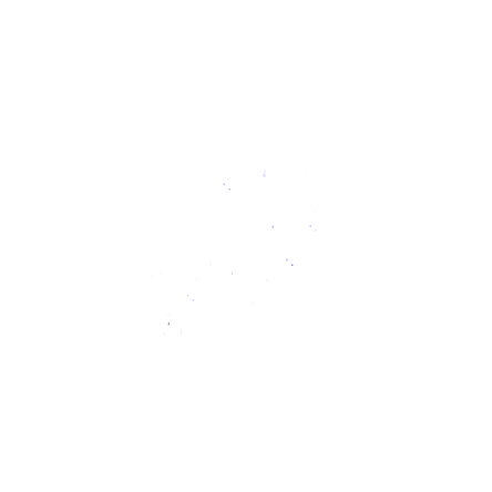 Cc1ncc(-c2nc(Nc3ccc(CN4[C@@H](C)COC[C@@H]4C)cc3F)ncc2F)n1C1CCOCC1.Cl